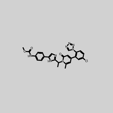 COC(=O)Nc1ccc(-c2cnc(C(C)n3c(C)cc(-c4cc(Cl)ccc4-n4cnnn4)cc3=O)[nH]2)cc1